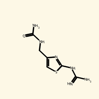 N=C(N)Nc1nc(CNC(N)=O)cs1